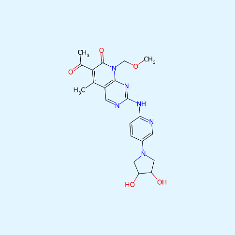 COCn1c(=O)c(C(C)=O)c(C)c2cnc(Nc3ccc(N4CC(O)C(O)C4)cn3)nc21